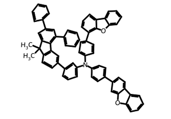 CC1(C)c2ccc(-c3cccc(N(c4ccc(-c5ccc6c(c5)oc5ccccc56)cc4)c4ccc(-c5cccc6c5oc5ccccc56)cc4)c3)cc2-c2c(-c3ccccc3)cc(-c3ccccc3)cc21